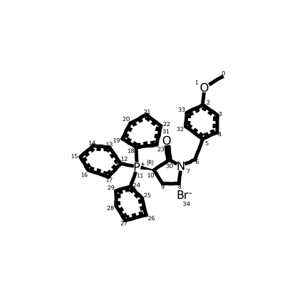 COc1ccc(CN2CC[C@@H]([P+](c3ccccc3)(c3ccccc3)c3ccccc3)C2=O)cc1.[Br-]